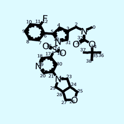 CN(Cc1cc(-c2ccccc2F)n(S(=O)(=O)c2cncc(N3CC4COCC4C3)c2)c1)C(=O)OC(C)(C)C